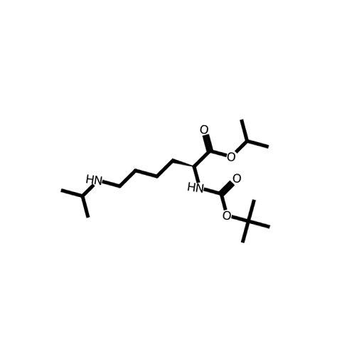 CC(C)NCCCC[C@H](NC(=O)OC(C)(C)C)C(=O)OC(C)C